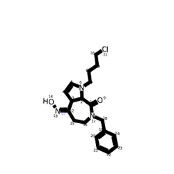 O=C1C2C(C=CN2CCCCCl)/C(=N\O)CCN1Cc1ccccc1